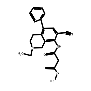 CCN1CCc2c(-c3ccccc3)cc(C#N)c(NC(=O)CC(=O)OC)c2C1